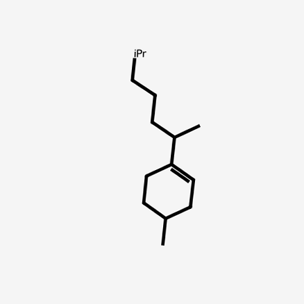 CC(C)CCCC(C)C1=CCC(C)CC1